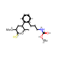 [CH2]C(OC)C(CC(CS)OC)c1ccccc1CCCNC(=O)OC(C)(C)C